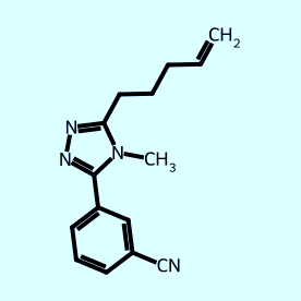 C=CCCCc1nnc(-c2cccc(C#N)c2)n1C